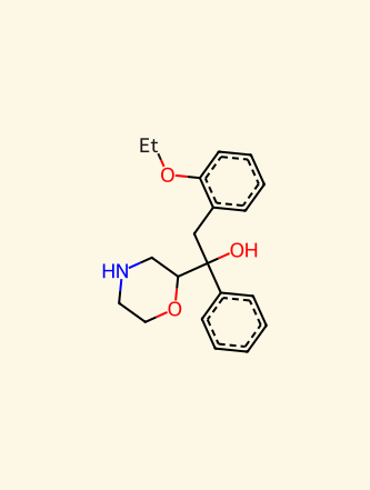 CCOc1ccccc1CC(O)(c1ccccc1)C1CNCCO1